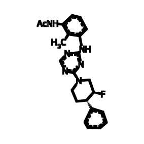 CC(=O)Nc1cccc(Nc2ncnc(N3CC[C@@H](c4ccccc4)[C@H](F)C3)n2)c1C